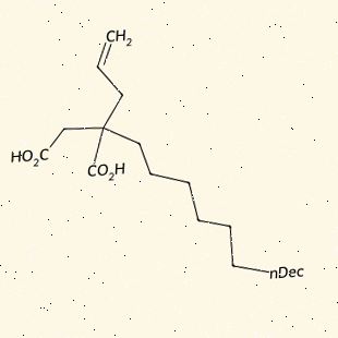 C=CCC(CCCCCCCCCCCCCCCC)(CC(=O)O)C(=O)O